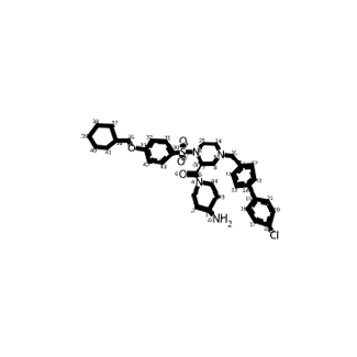 NC1CCN(C(=O)[C@@H]2CN(Cc3ccc(-c4ccc(Cl)cc4)cc3)CCN2S(=O)(=O)c2ccc(OCC3CCCCC3)cc2)CC1